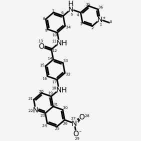 C[n+]1ccc(Nc2cccc(NC(=O)c3ccc(Nc4ccnc5ccc([N+](=O)[O-])cc45)cc3)c2)cc1